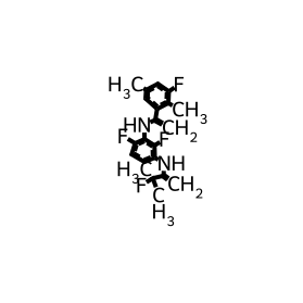 C=C(Nc1c(F)ccc(NC(=C)C(C)(C)F)c1F)c1cc(C)cc(F)c1C